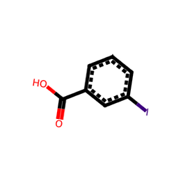 O=C(O)c1c[c]cc(I)c1